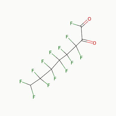 O=C(F)C(=O)C(F)(F)C(F)(F)C(F)(F)C(F)(F)C(F)(F)C(F)F